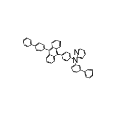 c1ccc(-c2ccc(-c3c4ccccc4c(-c4ccc(N(c5cccc(-c6ccccc6)c5)c5ccccn5)cc4)c4ccccc34)cc2)cc1